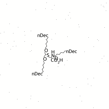 CCCCCCCCCCCCCCCCOCC(COCCCCCCCCCCCCCCCC)SC[C@H](NC(=O)CCCCCCCCCCCCCCC)C(=O)O